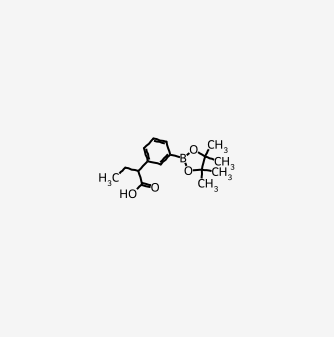 CCC(C(=O)O)c1cccc(B2OC(C)(C)C(C)(C)O2)c1